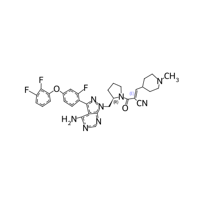 CN1CCC(/C=C(\C#N)C(=O)N2CCC[C@@H]2Cn2nc(-c3ccc(Oc4cccc(F)c4F)cc3F)c3c(N)ncnc32)CC1